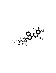 CC(NC(=O)CC(F)(F)F)NC(=O)c1ccc(/C(F)=C/C(c2cc(Cl)c(Cl)c(Cl)c2)C(F)(F)F)c2ccccc12